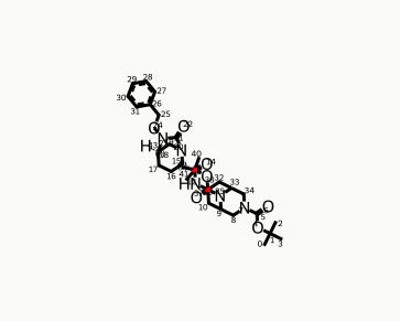 CC(C)(C)OC(=O)N1CC2CC(NC(=O)[C@@H]3CC[C@@H]4CN3C(=O)N4OCc3ccccc3)CC(C1)N2C(=O)OC(C)(C)C